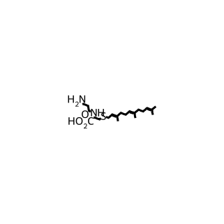 CC(C)=CCC/C(C)=C/CC/C(C)=C/CSC[C@H](NC(=O)CCN)C(=O)O